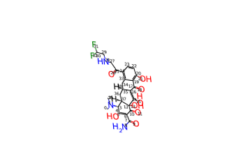 CN(C)[C@@H]1C(O)=C(C(N)=O)C(=O)[C@@]2(O)C(O)=C3C(=O)c4c(O)ccc(C(=O)CNCC(F)F)c4C[C@H]3C[C@@H]12